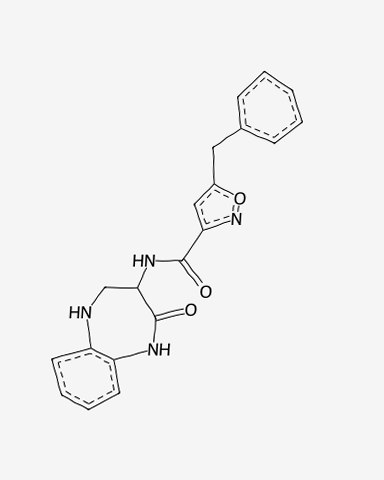 O=C(NC1CNc2ccccc2NC1=O)c1cc(Cc2ccccc2)on1